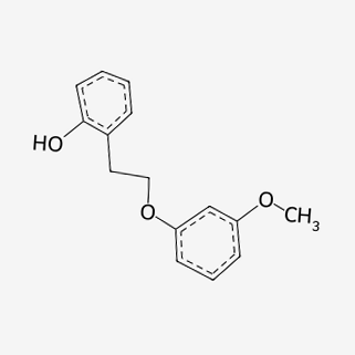 COc1cccc(OCCc2ccccc2O)c1